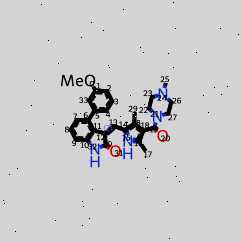 COc1cccc(-c2cccc3c2/C(=C/c2[nH]c(C)c(C(=O)N4CCN(C)CC4)c2C)C(=O)N3)c1